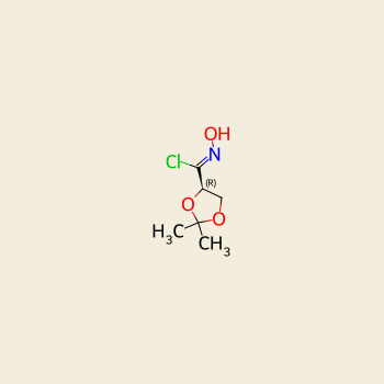 CC1(C)OC[C@H](C(Cl)=NO)O1